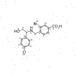 O=C(O)c1ccc(CNC(CO)c2ccc(Cl)cc2)c(Br)c1